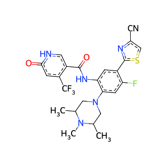 CC1CN(c2cc(F)c(-c3nc(C#N)cs3)cc2NC(=O)c2c[nH]c(=O)cc2C(F)(F)F)CC(C)N1C